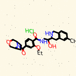 CCOc1cc(C(=O)N2C3CCC2COC3)ccc1C(=O)NCC(O)C1Cc2cc(C)ccc2CN1.Cl